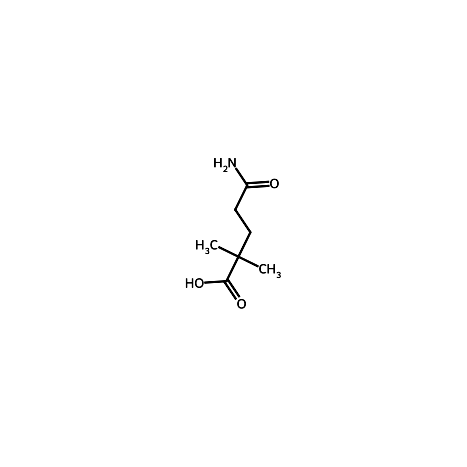 CC(C)(CCC(N)=O)C(=O)O